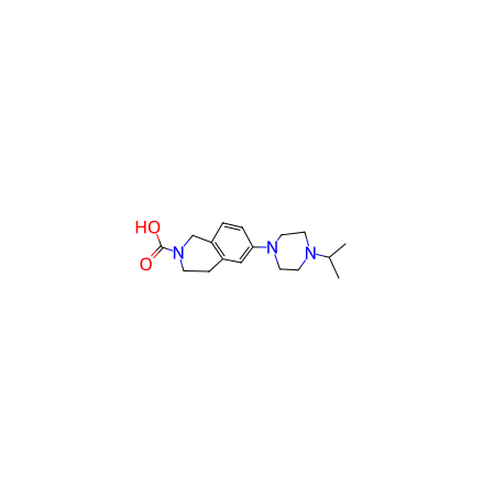 CC(C)N1CCN(c2ccc3c(c2)CCN(C(=O)O)C3)CC1